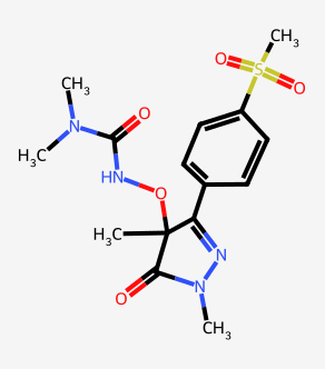 CN(C)C(=O)NOC1(C)C(=O)N(C)N=C1c1ccc(S(C)(=O)=O)cc1